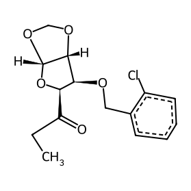 CCC(=O)[C@H]1O[C@@H]2OCO[C@@H]2[C@H]1OCc1ccccc1Cl